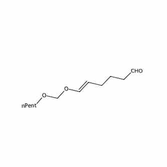 CCCCCOCOC=CCCCC=O